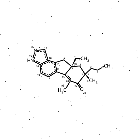 CCC[C@@]1(C)C[C@@]2(CC)Cc3c(ccc4[nH]ncc34)C2=C(C)C1=O